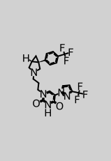 O=c1[nH]c(=O)n(CCCN2C[C@@H]3C[C@]3(c3ccc(C(F)(F)F)cc3)C2)cc1-n1ccc(C(F)(F)F)n1